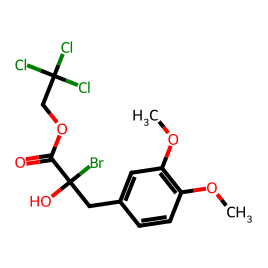 COc1ccc(CC(O)(Br)C(=O)OCC(Cl)(Cl)Cl)cc1OC